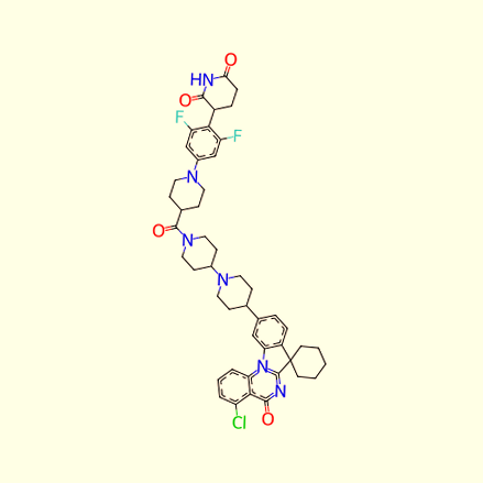 O=C1CCC(c2c(F)cc(N3CCC(C(=O)N4CCC(N5CCC(c6ccc7c(c6)-n6c(nc(=O)c8c(Cl)cccc86)C76CCCCC6)CC5)CC4)CC3)cc2F)C(=O)N1